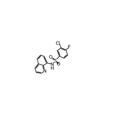 O=S(=O)(Nc1cccc2cccnc12)c1ccc(F)c(Cl)c1